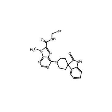 CC(C)CNC(=O)c1nc2c(N3CCC4(CC3)C(=O)Nc3ccccc34)ncnc2n1C